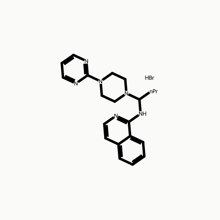 Br.CCCC(Nc1nccc2ccccc12)N1CCN(c2ncccn2)CC1